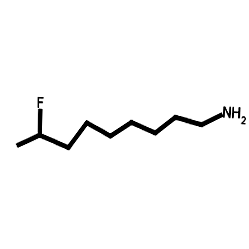 CC(F)CCCCCCCN